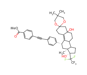 COC(=O)c1ccc(C#Cc2ccc([C@H]3C[C@@]4(C)C(CC[C@@]4(O)C(F)(F)C(F)(F)F)C4CCC5(O)CC6(CCC5=C43)OCC(C)(C)CO6)cc2)cc1